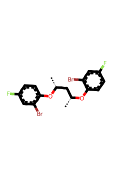 C[C@H](C[C@@H](C)Oc1ccc(F)cc1Br)Oc1ccc(F)cc1Br